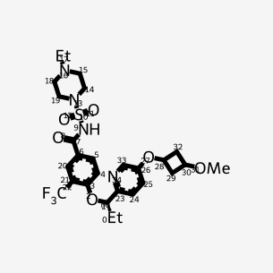 CC[C@@H](Oc1ccc(C(=O)NS(=O)(=O)N2CCN(CC)CC2)cc1C(F)(F)F)c1ccc(OC2CC(OC)C2)cn1